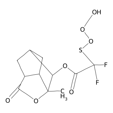 CC12OC(=O)C3CC(CC31)C2OC(=O)C(F)(F)SOOO